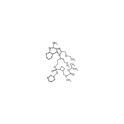 CCC[C@@H](CCOP(=O)(Oc1cccnc1)C1CCC1C[C@@H](C)C(=O)OC(C)C)n1c(COCC)nc2c(N)nc3ccccc3c21